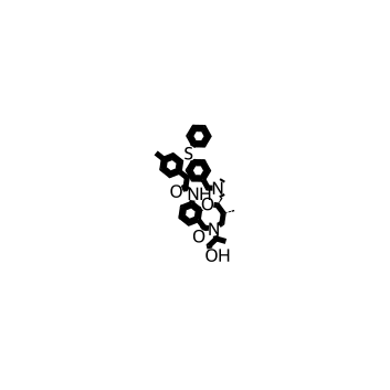 Cc1ccc(CC(=O)Nc2cccc3c2O[C@H](CN(C)Cc2ccc(Sc4ccccc4)cc2)[C@H](C)CN(C(C)CO)C3=O)cc1